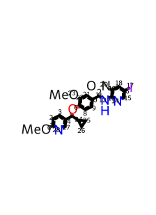 COc1ccc(C(Oc2ccc(CNc3ncc(I)cc3[N+](=O)[O-])cc2OC)C2CC2)cn1